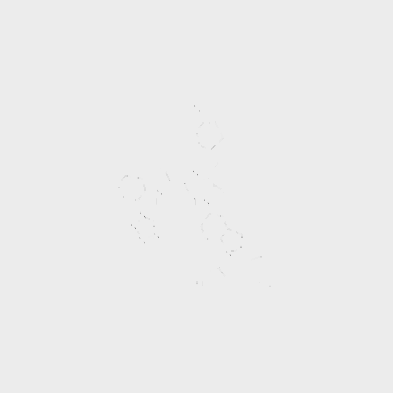 CC(C)(C)OC(=O)c1cc2cc(NC(=O)[C@H](Cc3ccc(N)cc3)NC(=O)C(=O)Nc3cc(Cl)ccc3-n3cnnn3)ccc2n1C(=O)OC(C)(C)C